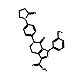 COc1cccc(-n2nc(C(N)=O)c3c2C(=O)N(c2ccc(N4CCCC4=O)cc2)CC3)c1